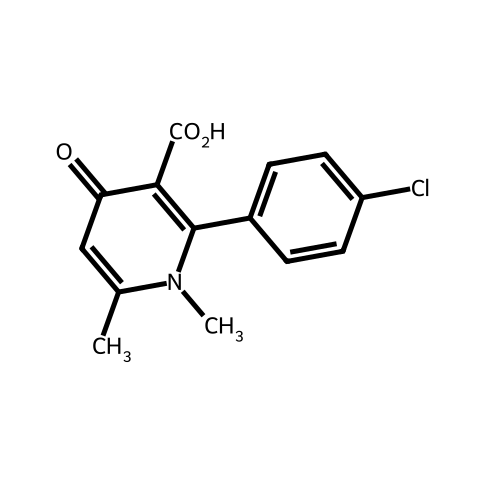 Cc1cc(=O)c(C(=O)O)c(-c2ccc(Cl)cc2)n1C